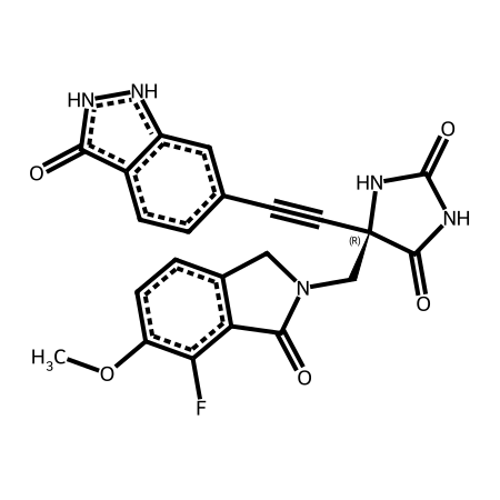 COc1ccc2c(c1F)C(=O)N(C[C@@]1(C#Cc3ccc4c(=O)[nH][nH]c4c3)NC(=O)NC1=O)C2